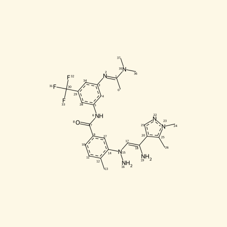 C/C(=N\c1cc(NC(=O)c2ccc(C)c(N(N)/C=C(\N)c3cnn(C)c3C)c2)cc(C(F)(F)F)c1)N(C)C